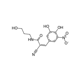 N#CC(=Cc1cc(O)c(O)c([N+](=O)[O-])c1)C(=O)NCCCO